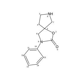 O=C1OC2(CCNC2)CN1c1ccccc1